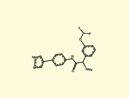 CNC(C(=O)Nc1ccc(-c2cn[nH]c2)cc1)c1cccc(OC(F)F)c1